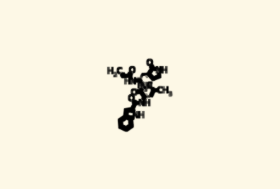 C=CC(=O)N[C@H](C[C@@H]1CCNC1=O)NC(=O)[C@H](CC(C)C)NC(=O)c1cc2ccccc2[nH]1